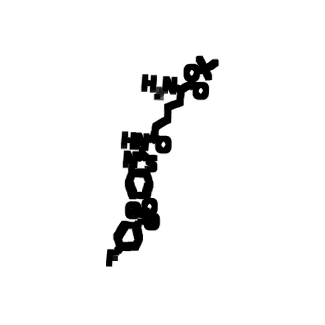 CC(C)(C)OC(=O)C(N)CCCCC(=O)Nc1nc2ccc(OS(=O)(=O)c3ccc(F)cc3)cc2s1